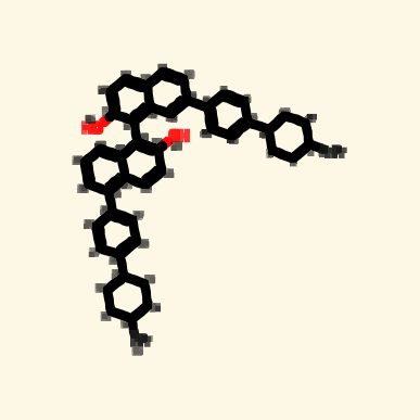 CCCC1CCC(c2ccc(-c3ccc4ccc(O)c(-c5c(O)ccc6c(-c7ccc(C8CCC(CCC)CC8)cc7)cccc56)c4c3)cc2)CC1